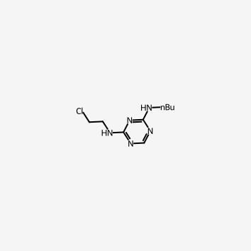 CCCCNc1ncnc(NCCCl)n1